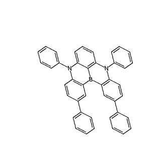 c1ccc(-c2ccc3c(c2)B2c4cc(-c5ccccc5)ccc4N(c4ccccc4)c4cccc(c42)N3c2ccccc2)cc1